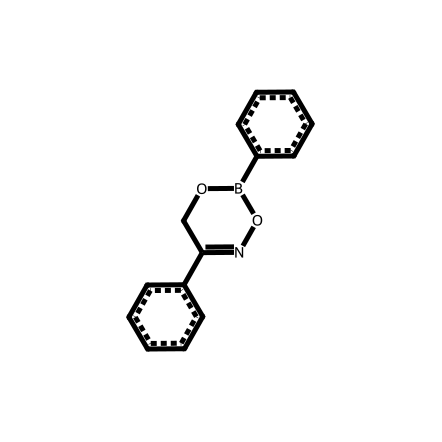 c1ccc(B2OCC(c3ccccc3)=NO2)cc1